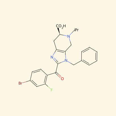 CC(C)N1Cc2c(nc(C(=O)c3ccc(Br)cc3F)n2Cc2ccccc2)C[C@H]1C(=O)O